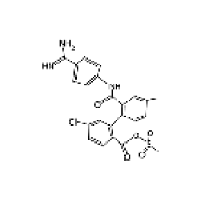 Cc1ccc(-c2cc(Cl)ccc2C(=O)OS(C)(=O)=O)c(C(=O)Nc2ccc(C(=N)N)cc2)c1